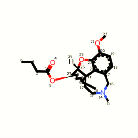 CCCC(=O)O[C@H]1CCC(C)[C@@]23CCN(C)Cc4ccc(OC)c(c42)O[C@H]3C1